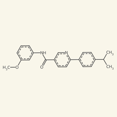 COc1cccc(NC(=O)c2ccc(-c3ccc(C(C)C)cc3)nc2)c1